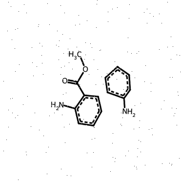 COC(=O)c1ccccc1N.Nc1ccccc1